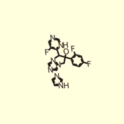 CC(c1ncncc1F)C(O)(Cn1cncn1)c1ccc(F)cc1F.c1c[nH]cn1